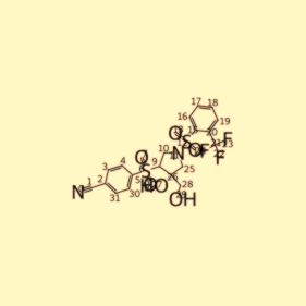 N#Cc1ccc(S(=O)(=O)C2CN(S(=O)(=O)c3ccccc3C(F)(F)F)C[C@@]2(O)CO)cc1